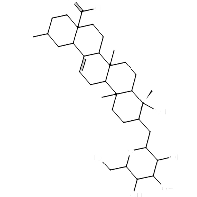 CC1CCC2(C(=O)O)CCC3C(=CCC4C3(C)CCC3C4(C)CCC(CC4OC(CO)C(O)C(O)C4O)[C@@]3(C)O)C2C1